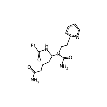 CCC(=O)NC(CCCC(N)=O)N(CCc1ccccn1)C(N)=O